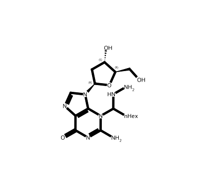 CCCCCCC(NN)n1c(N)nc(=O)c2ncn([C@H]3C[C@H](O)[C@@H](CO)O3)c21